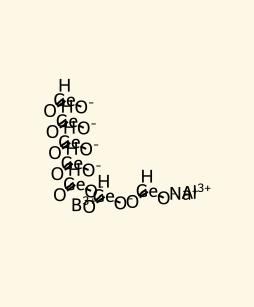 [Al+3].[B+3].[Na+].[O]=[GeH][O-].[O]=[GeH][O-].[O]=[GeH][O-].[O]=[GeH][O-].[O]=[GeH][O-].[O]=[GeH][O-].[O]=[GeH][O-]